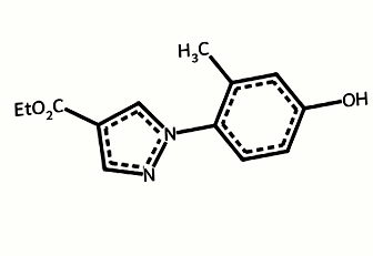 CCOC(=O)c1cnn(-c2ccc(O)cc2C)c1